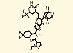 CCn1nccc1C(=O)N[C@H](c1cn2nc(CC3C[C@@H](C(F)(F)F)CNC3=O)c(N3C[C@H]4C[C@@H]3CO4)nc2n1)C1CCC(F)(F)CC1